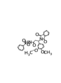 CCOc1cc(C(CC(=O)NOC(=O)c2ccccc2)N2C(=O)c3ccccc3C2=O)ccc1OC